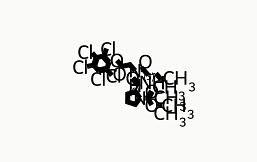 CC(C)C[C@H](NC(=O)[C@@H]1CCCN1C(=O)OC(C)(C)C)C(=O)NCC(=O)Oc1c(Cl)c(Cl)c(Cl)c(Cl)c1Cl